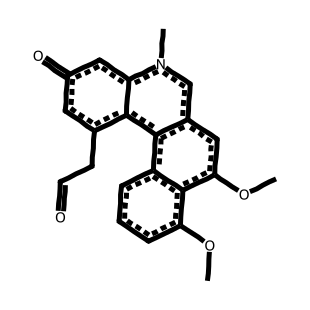 COc1cccc2c1c(OC)cc1cn(C)c3cc(=O)cc(CC=O)c-3c12